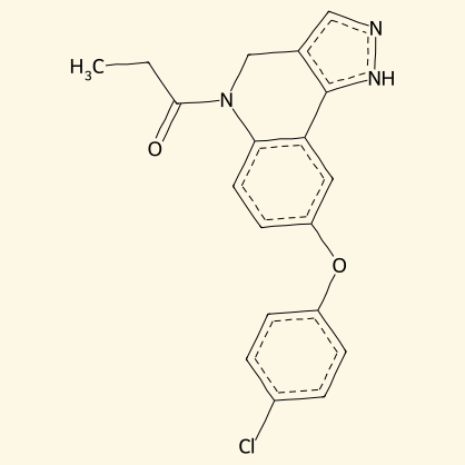 CCC(=O)N1Cc2cn[nH]c2-c2cc(Oc3ccc(Cl)cc3)ccc21